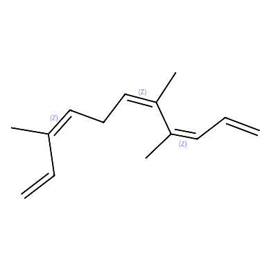 C=C/C=C(C)\C(C)=C/C/C=C(/C)C=C